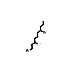 CCCC(Br)CCCC(Br)CCBr